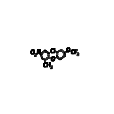 Cc1cc([N+](=O)[O-])ccc1Oc1ccc(OC(F)(F)F)cc1Cl